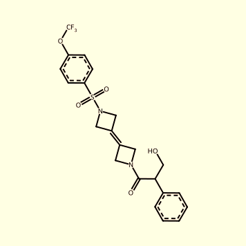 O=C(C(CO)c1ccccc1)N1CC(=C2CN(S(=O)(=O)c3ccc(OC(F)(F)F)cc3)C2)C1